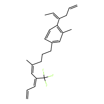 C=C/C=C(\C=C(\C)CCCc1ccc(/C(=C\C)CC=C)c(C)c1)C(F)(F)F